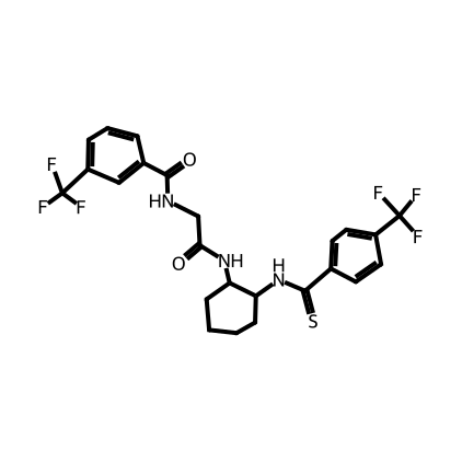 O=C(CNC(=O)c1cccc(C(F)(F)F)c1)NC1CCCCC1NC(=S)c1ccc(C(F)(F)F)cc1